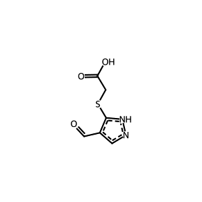 O=Cc1cn[nH]c1SCC(=O)O